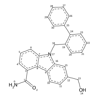 NC(=O)c1cccc2c1c1[c]cc(CO)cc1n2Cc1ccccc1-c1ccccc1